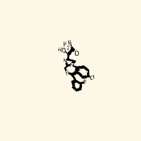 NC(=O)[C@H](O)c1cn2c(n1)CN=C(c1ccccc1F)c1cc(Cl)ccc1-2